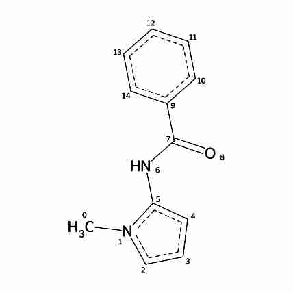 Cn1cccc1NC(=O)c1ccccc1